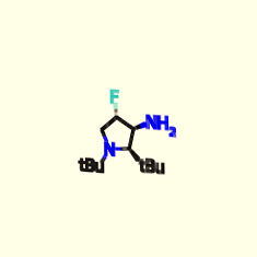 CC(C)(C)[C@@H]1[C@H](N)[C@@H](F)CN1C(C)(C)C